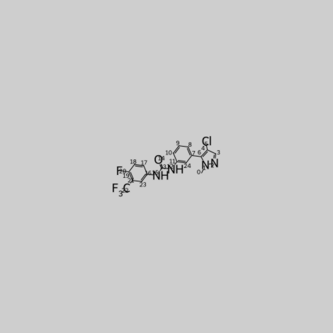 Cn1ncc(Cl)c1-c1cccc(NC(=O)Nc2ccc(F)c(C(F)(F)F)c2)c1